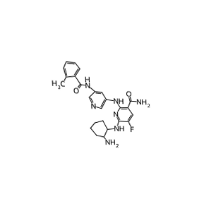 Cc1ccccc1C(=O)Nc1cncc(Nc2nc(NC3CCCCC3N)c(F)cc2C(N)=O)c1